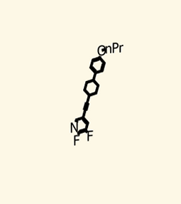 CCCOc1ccc(C2CCC(C#Cc3cnc(F)c(F)c3)CC2)cc1